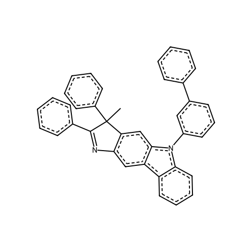 CC1(c2ccccc2)C(c2ccccc2)=Nc2cc3c4ccccc4n(-c4cccc(-c5ccccc5)c4)c3cc21